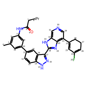 Cc1cc(NC(=O)CC(C)C)cc(-c2ccc3[nH]nc(-c4nc5c(C6=CC(F)=CCC6)cncc5[nH]4)c3c2)c1